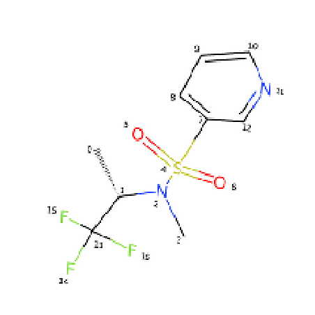 C[C@H](N(C)S(=O)(=O)c1cccnc1)C(F)(F)F